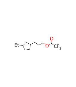 CCC1CCC(CCCOC(=O)C(F)(F)F)C1